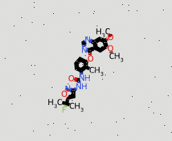 COc1cc2ncnc(Oc3cccc(NC(=O)Nc4cc(C(C)(C)F)on4)c3C)c2cc1OC